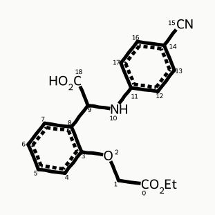 CCOC(=O)COc1ccccc1C(Nc1ccc(C#N)cc1)C(=O)O